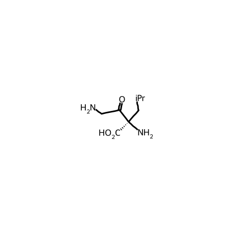 CC(C)C[C@](N)(C(=O)O)C(=O)CN